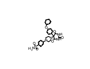 NS(=O)(=O)c1ccc(N2CCN(C3(c4ccc(Oc5ccccc5)cc4)C(=O)NC(=O)NC3=O)CC2)cc1